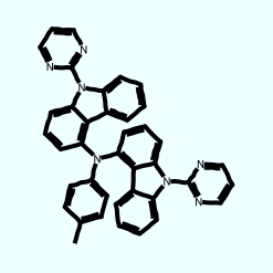 Cc1ccc(N(c2cccc3c2c2ccccc2n3-c2ncccn2)c2cccc3c2c2ccccc2n3-c2ncccn2)cc1